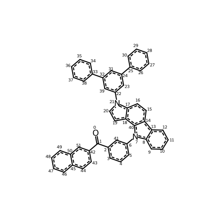 O=C(c1cccc(-n2c3ccccc3c3ccc4c(ccn4-c4cc(-c5ccccc5)cc(-c5ccccc5)c4)c32)c1)c1ccc2ccccc2c1